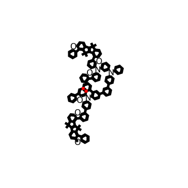 CC1(C)C2=C(c3c1ccc1oc4c(-c5ccc(N(c6ccc(-c7cccc(-c8ccc(N(c9ccccc9)c9cccc(N(c%10cccc%11c%10oc%10ccccc%10%11)c%10cccc%11c%10oc%10ccc%12c(c%10%11)C%10=C(c%11ccc%13oc%14ccccc%14c%13c%11C%10(C)C)C%12(C)C)c9)cc8)c7)cc6-c6ccccc6)c6cccc7c6oc6ccccc67)cc5)cccc4c31)C(C)(C)c1c2ccc2oc3ccccc3c12